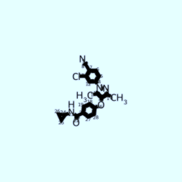 Cc1nn(-c2ccc(C#N)c(Cl)c2)c(C)c1Oc1ccc(C(=O)NC2CC2)cc1